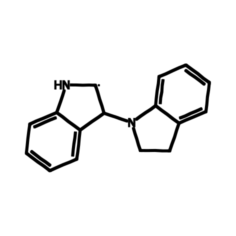 [CH]1Nc2ccccc2C1N1CCc2ccccc21